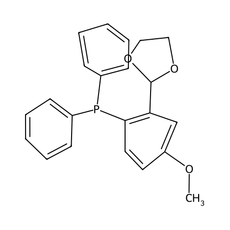 COc1ccc(P(c2ccccc2)c2ccccc2)c(C2OCCO2)c1